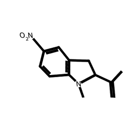 C=C(C)C1Cc2cc([N+](=O)[O-])ccc2N1C